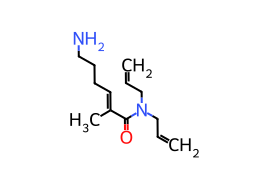 C=CCN(CC=C)C(=O)C(C)=CCCCN